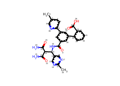 Cc1ccc(-c2cc(C(=O)N[C@@H](c3cnc(C)nc3)C(C(N)=O)C(N)=O)cc(-c3ccccc3C(=O)O)c2)nc1